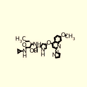 CCC[C@H](NC(=O)[C@@H]1C[C@@H](Oc2cc(-n3cccn3)nc3cc(OC)ccc23)CN1)C(O)C(=O)NC1CC1